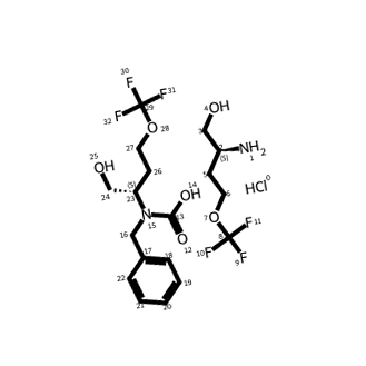 Cl.N[C@H](CO)CCOC(F)(F)F.O=C(O)N(Cc1ccccc1)[C@H](CO)CCOC(F)(F)F